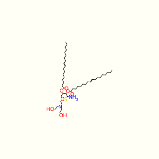 CCCCCCCCC=CCCCCCCCC(=O)OC(COCCN(CCO)CCO)C(OC(=O)CCCCCCCC=CCCCCCCCC)C(N)=S